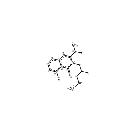 CC(CNC(=O)O)Cn1c([C@H](C)N)nc2cccc(Cl)c2c1=O